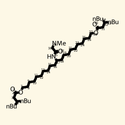 CCCCC(CCCC)CC(=O)OCCCCCCCCCCC(CCCCCCCCCCOC(=O)CC(CCCC)CCCC)NC(=O)CNC